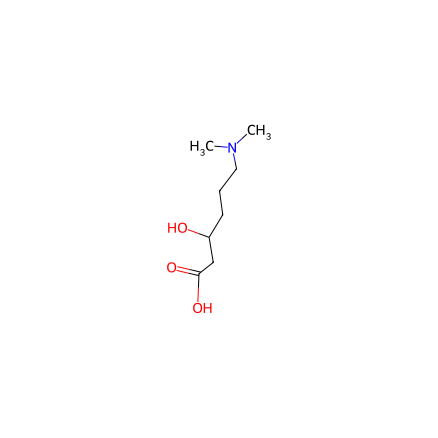 CN(C)CCCC(O)CC(=O)O